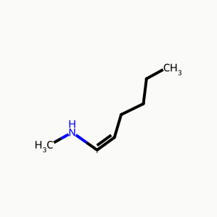 CCCC/C=[C]\NC